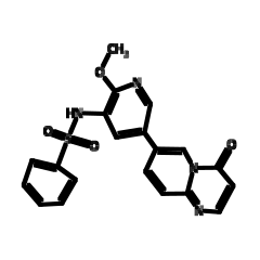 COc1ncc(-c2ccc3nccc(=O)n3c2)cc1NS(=O)(=O)c1ccccc1